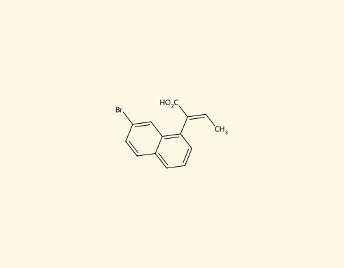 C/C=C(/C(=O)O)c1cccc2ccc(Br)cc12